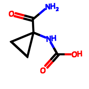 NC(=O)C1(NC(=O)O)CC1